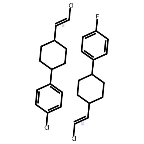 Cl/C=C/C1CCC(c2ccc(Cl)cc2)CC1.Fc1ccc(C2CCC(/C=C/Cl)CC2)cc1